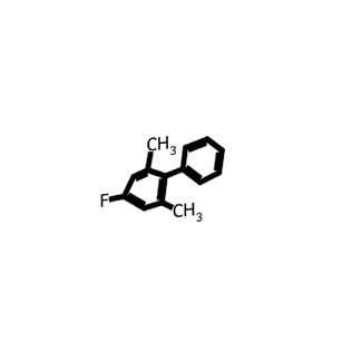 Cc1cc(F)cc(C)c1-c1ccccc1